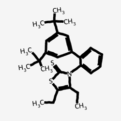 CCc1sc(=S)n(-c2ccccc2-c2cc(C(C)(C)C)cc(C(C)(C)C)c2)c1CC